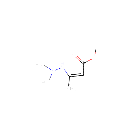 COC(=O)/C=C(/C)NN(C)C